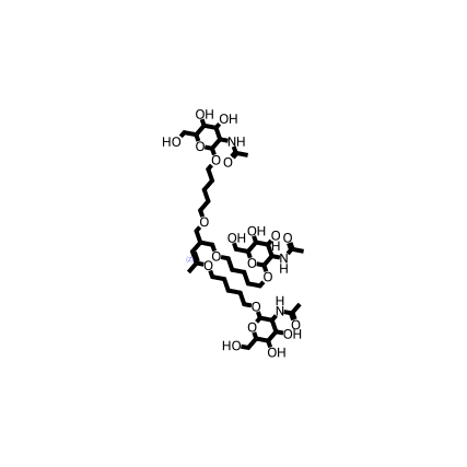 CC(=O)NC1C(OCCCCCOCC(/C=C(/C)OCCCCCOC2OC(CO)C(O)C(O)C2NC(C)=O)COCCCCCOC2OC(CO)C(O)C(O)C2NC(C)=O)OC(CO)C(O)C1O